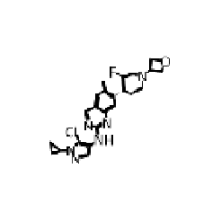 Cc1cc2cnc(Nc3cnn(C4CC4)c3Cl)nc2cc1[C@H]1CCN(C2COC2)C[C@@H]1F